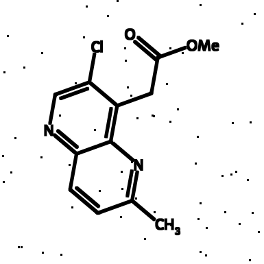 COC(=O)Cc1c(Cl)cnc2ccc(C)nc12